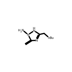 C=C1N=C(CCCCC)NN1N